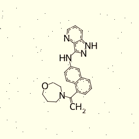 C=C(c1cccc2cc(Nc3n[nH]c4cccnc34)ccc12)N1CCCOCC1